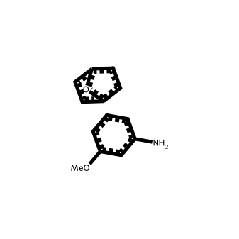 COc1cccc(N)c1.c1cc2ccc1o2